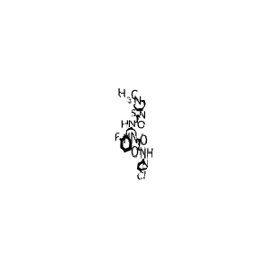 CN1CCc2nc(C(=O)NC(CNC(=O)C(=O)Nc3ccc(Cl)cn3)Cc3ccccc3F)sc2C1